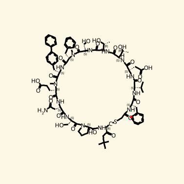 CC(C)[C@@H]1NC(=O)[C@H](Cc2ccccc2)NC(=O)CSC[C@@H](C(=O)CC(C)(C)C)NC(=O)[C@@H]2CCCN2C(=O)[C@H](CO)NC(=O)[C@H](CC(N)=O)NC(=O)[C@H](CCC(=O)O)N(C)C(=O)[C@H](Cc2ccc(-c3ccccc3)cc2)NC(=O)[C@H](Cc2ccccc2)N(C)C(=O)[C@H](CO)NC(=O)[C@H]([C@@H](C)O)NC(=O)[C@H]([C@@H](C)O)NC(=O)[C@H](CC(=O)O)NC1=O